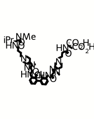 CNC(=O)[C@@H](NC(=O)CCCN1CCc2c(nc(C(=O)Nc3cccc(-c4cccc(NC(=O)c5nc6c(n5C)CCN(CCCC(=O)N[C@@H](CC(=O)O)C(=O)O)C6)c4Cl)c3Cl)n2C)C1)C(C)C